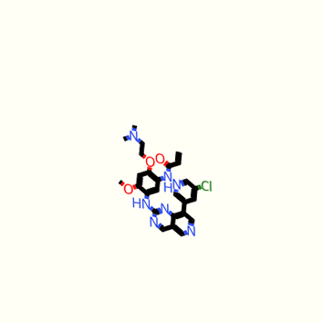 C=CC(=O)Nc1cc(Nc2ncc3cncc(-c4cncc(Cl)c4)c3n2)c(OC)cc1OCCN(C)C